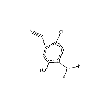 Cc1cc(C#N)c(Cl)cc1C(F)F